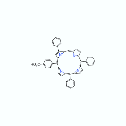 O=C(O)c1ccc(C2=C3C=C(c4ccccc4)C(=N3)C=C3C=CC(=N3)C(c3ccccc3)=C3C=CC(=N3)C(c3ccccc3)=C3C=CC2=N3)cc1